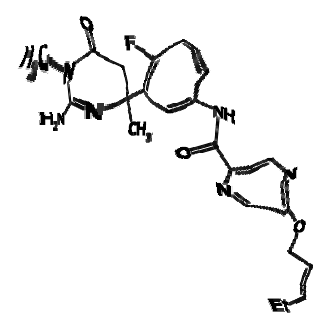 CC/C=C\COc1cnc(C(=O)Nc2ccc(F)c(C3(C)CC(=O)N(C)C(N)=N3)c2)cn1